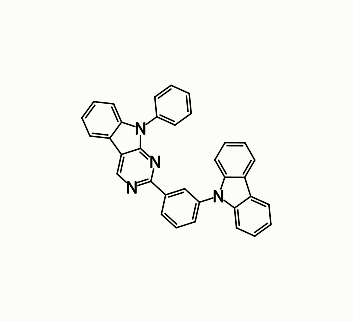 c1ccc(-n2c3ccccc3c3cnc(-c4cccc(-n5c6ccccc6c6ccccc65)c4)nc32)cc1